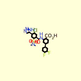 CN(C)S(=O)(=O)c1cc(-c2cnn[nH]2)c(Cl)cc1C(=O)Nc1cc(-c2ccc(F)c(F)c2)ccc1C(=O)O